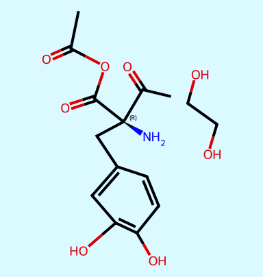 CC(=O)OC(=O)[C@@](N)(Cc1ccc(O)c(O)c1)C(C)=O.OCCO